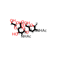 CC(=O)NC1C(O)[C@H](O[C@H](O)CO)C(CO)O[C@H]1O[C@H]1CC(NC(C)=O)[C@H](C)OC1CO